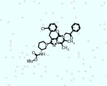 Cc1c(C)n2nc(N3CCC[C@@H](NC(=O)OC(C)(C)C)C3)c(Cc3ccccc3Cl)c2c(=O)n1CC(=O)c1ccccc1